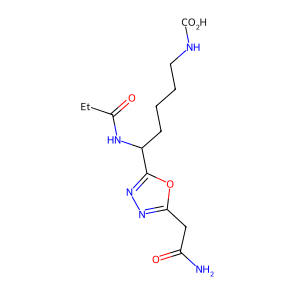 CCC(=O)NC(CCCCNC(=O)O)c1nnc(CC(N)=O)o1